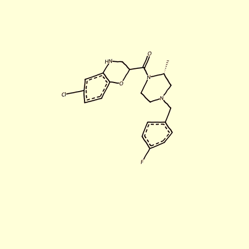 C[C@@H]1CN(Cc2ccc(F)cc2)CCN1C(=O)C1CNc2cc(Cl)ccc2O1